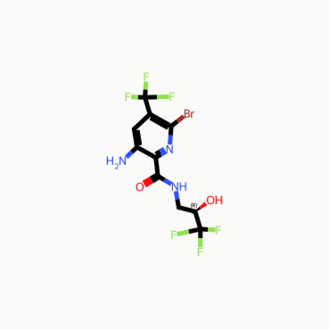 Nc1cc(C(F)(F)F)c(Br)nc1C(=O)NC[C@@H](O)C(F)(F)F